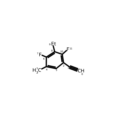 C#Cc1cc(C)c(F)c(CC)c1F